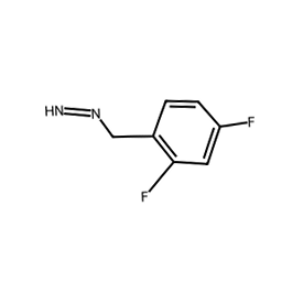 N=NCc1ccc(F)cc1F